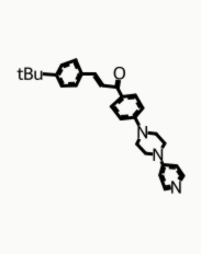 CC(C)(C)c1ccc(/C=C/C(=O)c2ccc(N3CCN(c4ccncc4)CC3)cc2)cc1